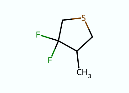 CC1CSCC1(F)F